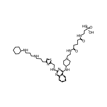 O=C(CCCC(=O)NCCP(=O)(O)O)NCCN1CCC(Nc2nc(NCc3nc(CCCNCCCNC4CCCCC4)cs3)nc3ccccc23)CC1